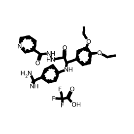 CCOc1ccc(C(Nc2ccc(C(=N)N)cc2)C(=O)NNC(=O)c2cccnc2)cc1OCC.O=C(O)C(F)(F)F